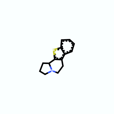 c1ccc2c3c(sc2c1)C1CCCN1CC3